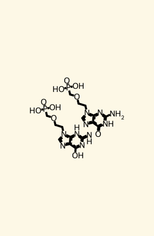 N=c1nc(O)c2ncn(CCOCP(=O)(O)O)c2[nH]1.Nc1nc2c(ncn2CCOCP(=O)(O)O)c(=O)[nH]1